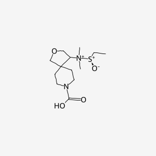 CC[S@@+]([O-])[N+](C)(C)C1COCC12CCN(C(=O)O)CC2